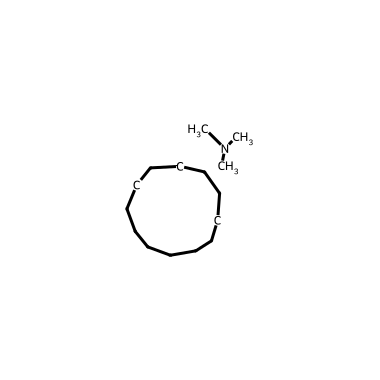 C1CCCCCCCCCCC1.CN(C)C